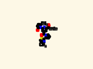 COC(=O)c1cc(C(=O)N2CCC[C@@H]2c2nc(C)cs2)cc(N2C(=O)CCC2C)n1